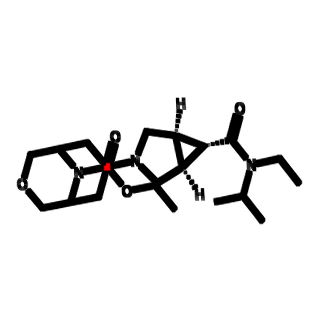 CCOC(=O)N1C2COCC1CC(N1C[C@@H]3[C@H](C1)[C@H]3C(=O)N(CC)C(C)C)C2